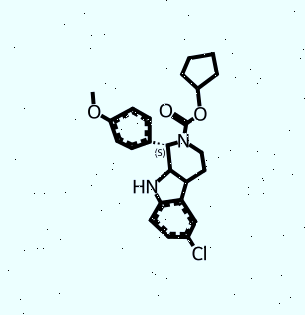 COc1ccc([C@H]2C3Nc4ccc(Cl)cc4C3CCN2C(=O)OC2CCCC2)cc1